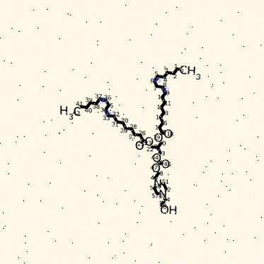 CCCCC/C=C\C/C=C\CCCCCCCC(=O)OCC(COC(=O)CCCCCCC/C=C\C/C=C\CCCCC)COC(=O)OCCN1CCN(CCO)CC1